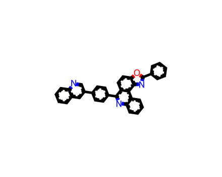 c1ccc(-c2nc3c(ccc4c(-c5ccc(-c6cnc7ccccc7c6)cc5)nc5ccccc5c43)o2)cc1